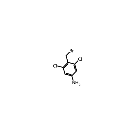 Nc1cc(Cl)c(CBr)c(Cl)c1